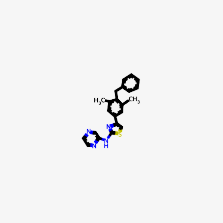 Cc1cc(-c2csc(Nc3cnccn3)n2)cc(C)c1Cc1ccccc1